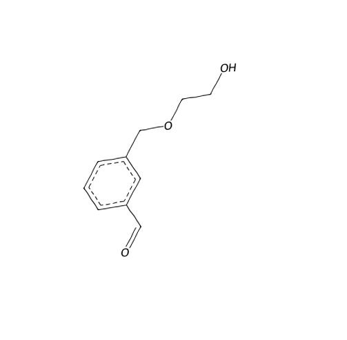 O=Cc1cccc(COCCO)c1